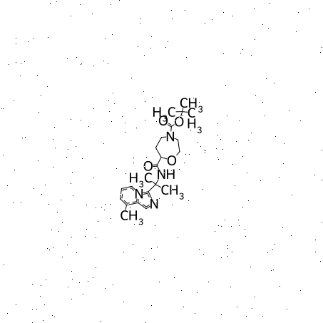 Cc1cccn2c(C(C)(C)NC(=O)C3CCN(C(=O)OC(C)(C)C)CCO3)ncc12